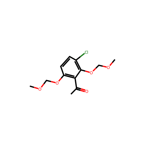 COCOc1ccc(Cl)c(OCOC)c1C(C)=O